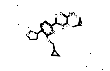 NC(=O)[C@H](CC1CC1)NC(=O)c1ccc(C2CCOC2)c(OCC2CC2)n1